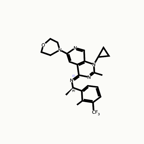 Cc1c([C@@H](C)/N=c2\nc(C)n(C3CC3)c3cnc(N4CCOCC4)cc23)cccc1C(F)(F)F